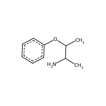 CC(N)C(C)Oc1ccccc1